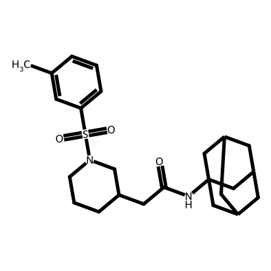 Cc1cccc(S(=O)(=O)N2CCCC(CC(=O)NC34CC5CC(CC(C5)C3)C4)C2)c1